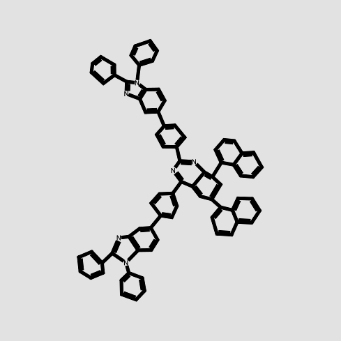 c1ccc(-c2nc3cc(-c4ccc(-c5nc(-c6ccc(-c7ccc8c(c7)nc(-c7ccccc7)n8-c7ccccc7)cc6)c6cc(-c7cccc8ccccc78)cc(-c7cccc8ccccc78)c6n5)cc4)ccc3n2-c2ccccc2)cc1